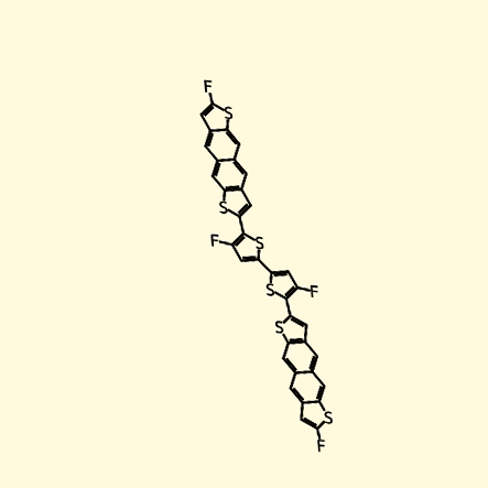 Fc1cc2cc3cc4sc(-c5sc(-c6cc(F)c(-c7cc8cc9cc%10sc(F)cc%10cc9cc8s7)s6)cc5F)cc4cc3cc2s1